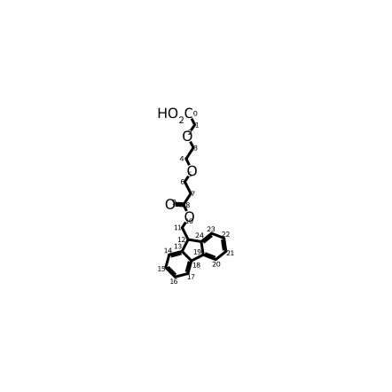 O=C(O)COCCOCCC(=O)OCC1c2ccccc2-c2ccccc21